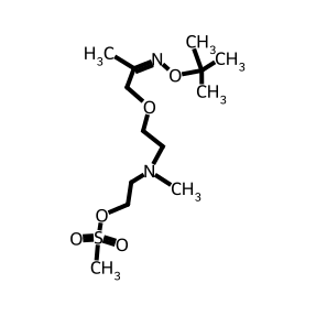 CC(COCCN(C)CCOS(C)(=O)=O)=NOC(C)(C)C